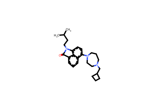 CC(C)CCN1C(=O)c2cccc3c(N4CCCN(CC5CCC5)CC4)ccc1c23